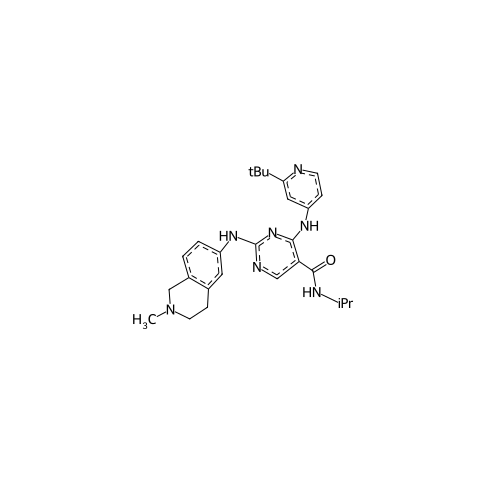 CC(C)NC(=O)c1cnc(Nc2ccc3c(c2)CCN(C)C3)nc1Nc1ccnc(C(C)(C)C)c1